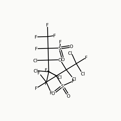 O=S(=O)(F)C(F)(C(F)(F)F)C(Cl)(OC(Cl)(C(F)(Cl)Cl)C(F)(C(F)(F)F)S(=O)(=O)F)C(F)(Cl)Cl